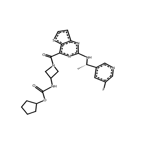 C[C@H](Nc1nc(C(=O)N2CC(NC(=O)OC3CCCC3)C2)c2sccc2n1)c1cncc(F)c1